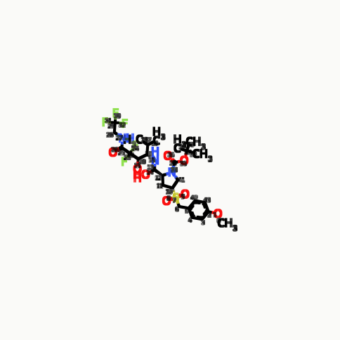 COc1ccc(CS(=O)(=O)[C@@H]2C[C@@H](C(O)N[C@@H](C(C)C)[C@@H](O)C(F)(F)C(=O)NCC(F)(F)F)N(C(=O)OC(C)(C)C)C2)cc1